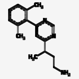 Cc1cccc(C)c1-c1cc(C(C)CCN)ncn1